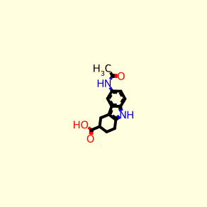 CC(=O)Nc1ccc2[nH]c3c(c2c1)CC(C(=O)O)CC3